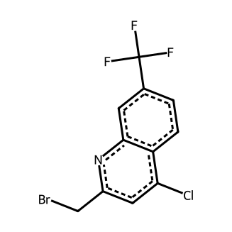 FC(F)(F)c1ccc2c(Cl)cc(CBr)nc2c1